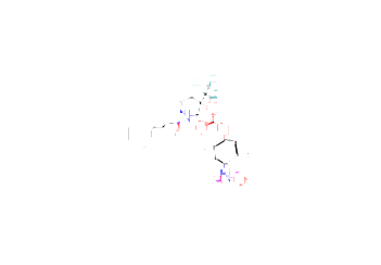 C=CC(=O)N1CCC(OC(=O)Oc2ccc([N+](=O)[O-])cc2)(C(F)(F)F)C1